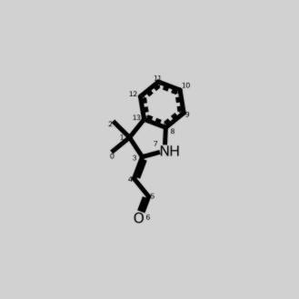 CC1(C)C(=CC=O)Nc2ccccc21